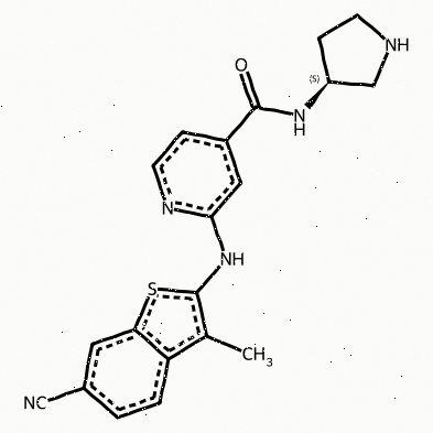 Cc1c(Nc2cc(C(=O)N[C@H]3CCNC3)ccn2)sc2cc(C#N)ccc12